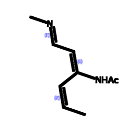 C\C=C/C(=C\C=N\C)NC(C)=O